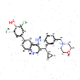 Oc1c(Cl)cc(-c2ccc3ncc(CC4CC4)c(Nc4ccc(CN5CCOCC5)cc4)c3c2)cc1Cl